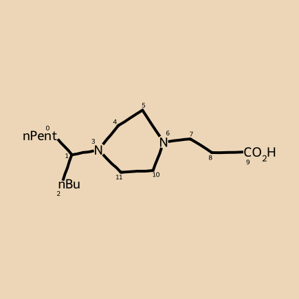 CCCCCC(CCCC)N1CCN(CCC(=O)O)CC1